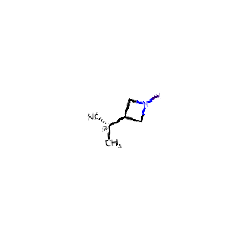 C[C@H](C#N)C1CN(I)C1